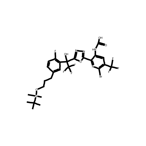 CC(C)(C)[Si](C)(C)OCCCc1ccc(F)c(C(O)(c2nnc(-c3nc(Br)c(C(F)(F)F)cc3NC(=O)O)o2)C(F)(F)F)c1